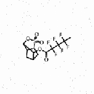 CC(F)(F)C(F)(F)C(F)(F)C(=O)OC1C2CC3C1OS(=O)(=O)C3C2